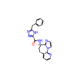 O=C(N[C@@H]1CCc2cccnc2-n2ccnc21)c1nnc(Cc2ccccc2)[nH]1